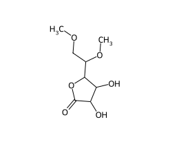 COCC(OC)C1OC(=O)C(O)C1O